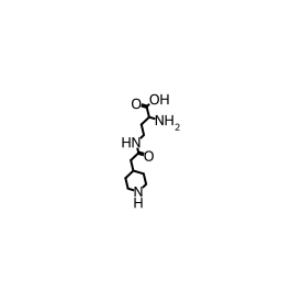 NC(CCNC(=O)CC1CCNCC1)C(=O)O